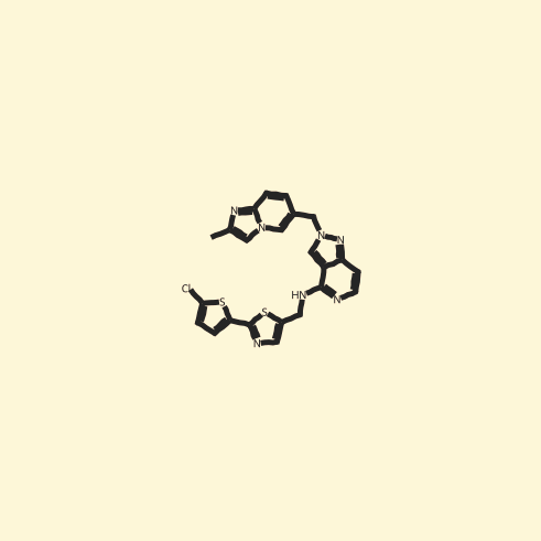 Cc1cn2cc(Cn3cc4c(NCc5cnc(-c6ccc(Cl)s6)s5)nccc4n3)ccc2n1